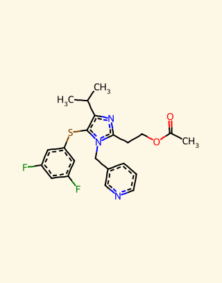 CC(=O)OCCc1nc(C(C)C)c(Sc2cc(F)cc(F)c2)n1Cc1cccnc1